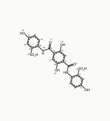 O=C(Nc1ccc(O)cc1S(=O)(=O)O)c1cc(O)c(C(=O)Nc2ccc(O)cc2S(=O)(=O)O)cc1O